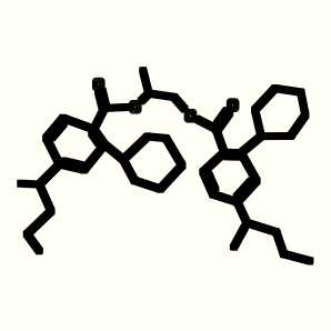 CCCC(C)c1ccc(C(=O)OCC(C)OC(=O)c2ccc(C(C)CCC)cc2C2CCCCC2)c(C2CCCCC2)c1